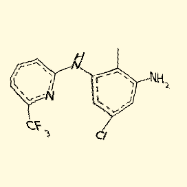 Cc1c(N)cc(Cl)cc1Nc1cccc(C(F)(F)F)n1